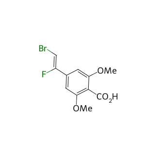 COc1cc(C(F)=CBr)cc(OC)c1C(=O)O